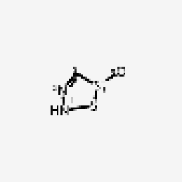 [O-][S+]1C=NNS1